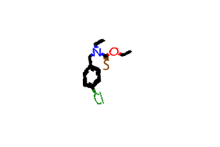 CCOC(=S)N(CC)Cc1ccc(Cl)cc1